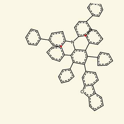 c1ccc(-c2ccc(N(c3ccc(-c4ccccc4)cc3)c3c(-c4ccccc4)c(-c4ccccc4)c(-c4ccc5c(c4)oc4ccccc45)c(-c4ccccc4)c3-c3ccccc3)cc2)cc1